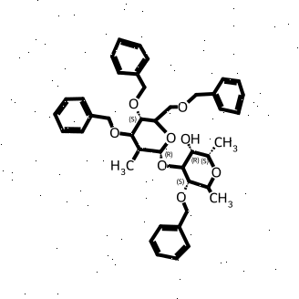 CC1C(OCc2ccccc2)[C@H](OCc2ccccc2)C(COCc2ccccc2)O[C@@H]1OC1[C@@H](OCc2ccccc2)C(C)O[C@@H](C)[C@H]1O